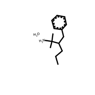 CCCC(Cc1ccccc1)C(C)(C)N.O